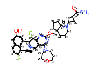 C#Cc1c(F)ccc2cc(O)cc(-c3ncc4c(N5CCCOCC5)nc(OC[C@]56CCC[C@H]5N(C5CC(C(N)=O)C5)CCC6)nc4c3F)c12